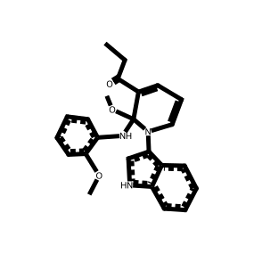 CCC(=O)C1=CC=CN(c2c[nH]c3ccccc23)C1(Nc1ccccc1OC)OC